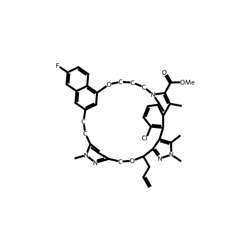 C=CCC1OCc2cc(n(C)n2)CCc2cc(c3ccc(F)cc3c2)OCCCn2c(C(=O)OC)c(C)c3c(c(Cl)ccc32)-c2c1nn(C)c2C